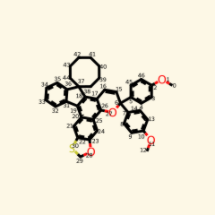 COc1ccc(C2(c3ccc(OC)cc3)C=Cc3c4c(c5cc6c(cc5c3O2)OCS6)-c2ccccc2C42CCCCCCC2)cc1